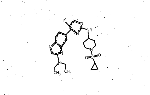 CCN(CC)c1cnc2ccc(-c3nc(NC4CCN(S(=O)(=O)C5CC5)CC4)ncc3F)cc2n1